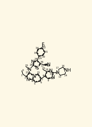 CCc1nc2ccc(-c3cnc(N4CCNCC4)nc3C)cn2c1N(C)c1nc(-c2ccc(F)cc2)c(C#N)s1